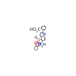 O=C(O)c1ccccc1-c1ccc2cc(CN(CC3(C(=O)O)CCCC3)C(=O)OC3CC3)ccc2n1